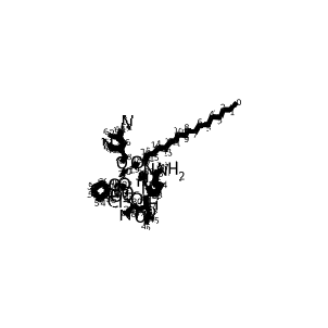 CCCCCCCCCCCCCCCCCCOC[C@H](COP(=O)(OC[C@@]1(C#N)O[C@@H](c2ccc3c(N)ncnn23)[C@@H]2OC(C)(C)O[C@@H]21)Oc1ccccc1Cl)OCc1cncc(C#N)c1